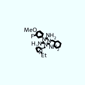 CCN1CCC[C@H]1CN1C(N)N(CC2CCCCC2)C(N)N(c2ccc(OC)c(F)c2)C1N